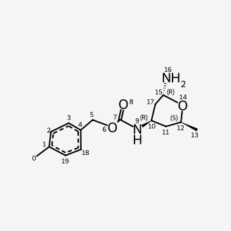 Cc1ccc(COC(=O)N[C@@H]2C[C@H](C)O[C@@H](N)C2)cc1